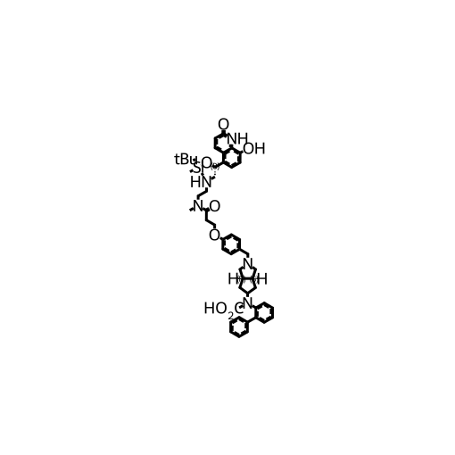 CN(CCNC[C@H](O[Si](C)(C)C(C)(C)C)c1ccc(O)c2[nH]c(=O)ccc12)C(=O)CCOc1ccc(CN2C[C@H]3CC(N(C(=O)O)c4ccccc4-c4ccccc4)C[C@H]3C2)cc1